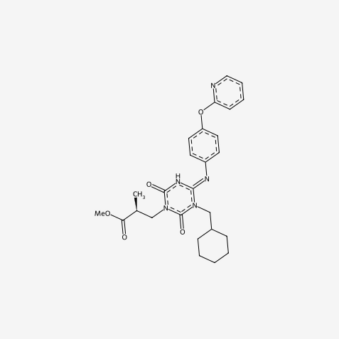 COC(=O)[C@@H](C)Cn1c(=O)[nH]/c(=N\c2ccc(Oc3ccccn3)cc2)n(CC2CCCCC2)c1=O